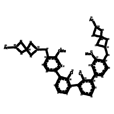 COc1nc(-c2cccc(-c3cccc(-c4ccc(CN5CC6(C5)CN(C(C)=O)C6)c(OC)n4)c3Cl)c2Cl)ccc1CN1CC2(C1)CN(C(C)=O)C2